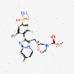 COC(=O)N1CCO[C@@H](Cc2c(-c3c(F)cc(S(N)(=O)=O)cc3Cl)nc3cc(C)ccn23)C1